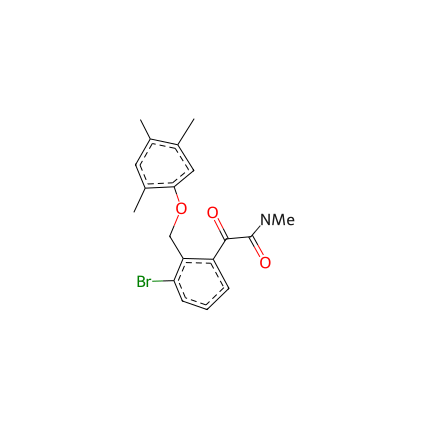 CNC(=O)C(=O)c1cccc(Br)c1COc1cc(C)c(C)cc1C